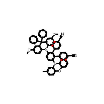 COc1ccc2c(c1)C(c1ccccc1)(c1ccccc1)c1cc(OC)ccc1N2c1ccc(N2c3cc(C)ccc3Oc3ccc(C)cc32)c(-c2ccc(C#N)cc2)c1-c1ccc(C#N)cc1